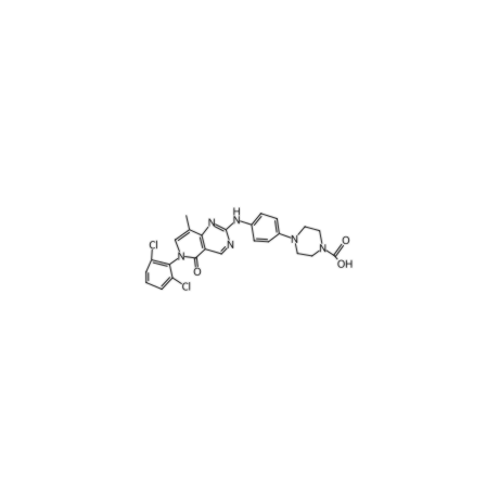 Cc1cn(-c2c(Cl)cccc2Cl)c(=O)c2cnc(Nc3ccc(N4CCN(C(=O)O)CC4)cc3)nc12